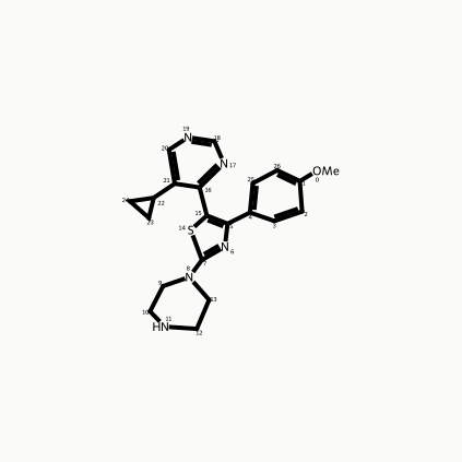 COc1ccc(-c2nc(N3CCNCC3)sc2-c2n[c]ncc2C2CC2)cc1